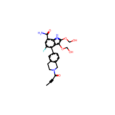 CC#CC(=O)N1CCc2cc(-c3c(F)cc(C(N)=O)c4[nH]c(OCO)c(OCO)c34)ccc2C1